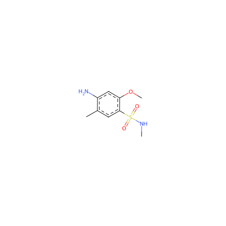 CNS(=O)(=O)c1cc(C)c(N)cc1OC